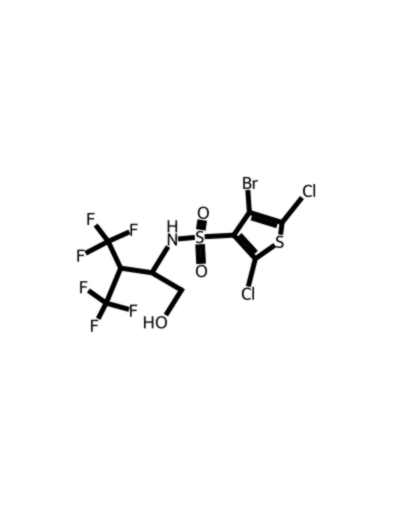 O=S(=O)(NC(CO)C(C(F)(F)F)C(F)(F)F)c1c(Cl)sc(Cl)c1Br